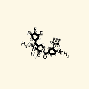 COc1ccc(C(=O)N2CCc3c(nn(C)c3-c3cc(F)c(F)c(F)c3)[C@@H]2C)cc1-n1cnnc1